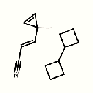 C1CC(C2CCC2)C1.CC1(C=CC#N)C=C1